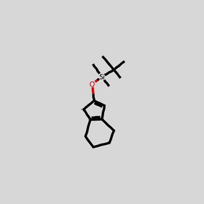 CC(C)(C)[Si](C)(C)OC1=CC2=C([CH]1)CCCC2